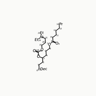 CCCCCCCCCCCCC(CCCOC(=O)CCCCC(C)C)OC(=O)OCCCN(CC)CC